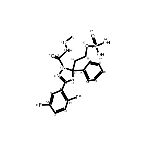 CONC(=O)N1N=C(c2cc(F)ccc2F)SC1(CCOP(=O)(O)O)c1ccccc1